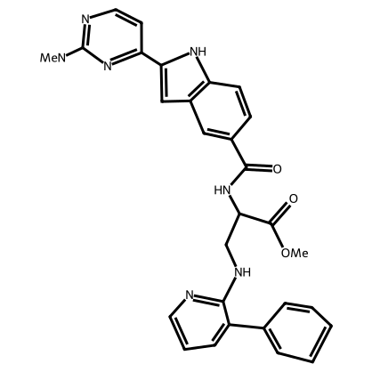 CNc1nccc(-c2cc3cc(C(=O)NC(CNc4ncccc4-c4ccccc4)C(=O)OC)ccc3[nH]2)n1